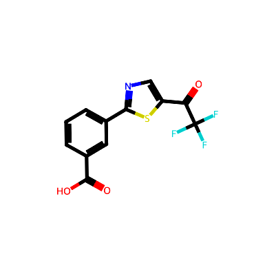 O=C(O)c1cccc(-c2ncc(C(=O)C(F)(F)F)s2)c1